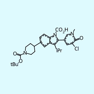 CC(C)c1c(-c2cc(Cl)c(=O)n(C)c2)n(C(=O)O)c2ccc(C3CCN(C(=O)OC(C)(C)C)CC3)cc12